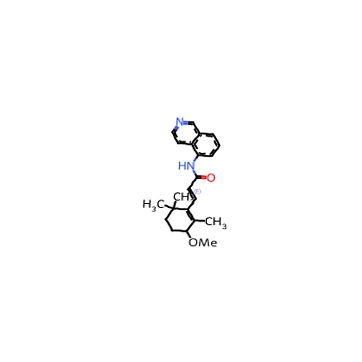 COC1CCC(C)(C)C(/C=C/C(=O)Nc2cccc3cnccc23)=C1C